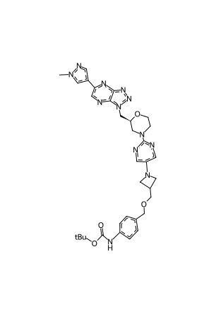 Cn1cc(-c2cnc3c(nnn3C[C@@H]3CN(c4ncc(N5CC(COCc6ccc(NC(=O)OC(C)(C)C)cc6)C5)cn4)CCO3)n2)cn1